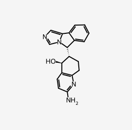 Nc1ccc2c(n1)CC[C@@H](C1c3ccccc3-c3cncn31)[C@@H]2O